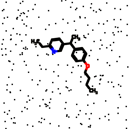 CCCCOc1ccc(C(C)c2ccc(CC)nc2)cc1